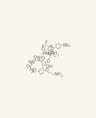 C[C@@H]1Cc2ccc(OCCCN)c(c2)-c2cc(cc(OCCCN)c2O)[C@H](N(C)C(=O)CNC(=O)c2c(N)nc(-c3ccc(C(C)(C)C)cc3)nc2C(F)F)C(=O)N[C@@H](C)C(=O)N1